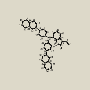 C=Cc1c(C)sc2c(N(c3ccc(-c4ccc5ccccc5c4)cc3)c3ccc(-c4ccc5ccccc5c4)cc3)cccc12